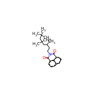 CC(CCN1C(=O)c2cccc3cccc(c23)C1=O)CC(C)(C)CC(C)(C)C